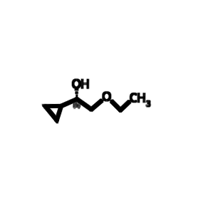 CCOC[C@@H](O)C1CC1